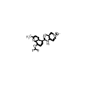 Cc1ccc2c(C(=O)Nc3cc[n+]([O-])cc3Cl)ccc(OC(F)F)c2n1